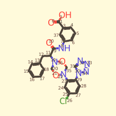 O=C(O)c1cccc(NC(=O)C(Cc2ccccc2)N2CON(c3cc(Cl)ccc3-n3cnnn3)CO2)c1